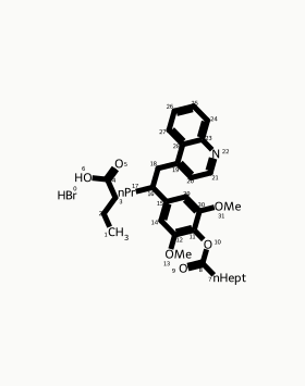 Br.CCCC(=O)O.CCCCCCCC(=O)Oc1c(OC)cc(C(CCC)Cc2ccnc3ccccc23)cc1OC